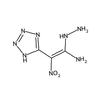 NNC(N)=C(c1nnn[nH]1)[N+](=O)[O-]